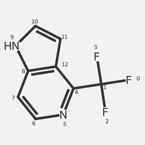 FC(F)(F)c1nccc2[nH]ccc12